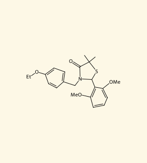 CCOc1ccc(CN2C(=O)C(C)(C)SC2c2c(OC)cccc2OC)cc1